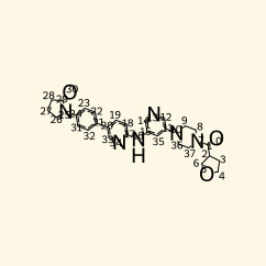 O=C(C1CCOC1)N1CCN(c2cncc(Nc3ccc(-c4ccc(N5CCCC5=O)cc4)cn3)c2)CC1